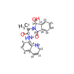 C[C@@H](C(=O)Nc1cccc2c#ccnc12)N1C(=O)c2ccccc2C1O